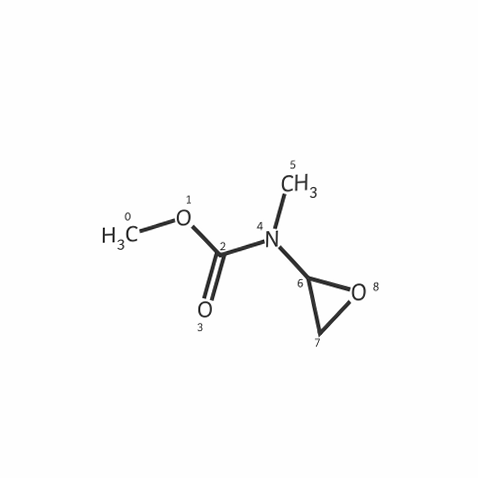 COC(=O)N(C)C1CO1